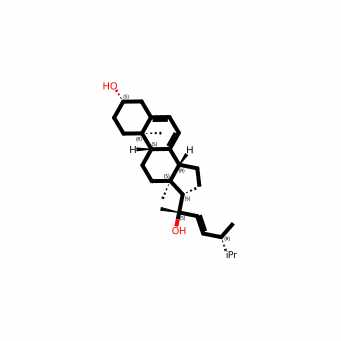 CC(C)[C@@H](C)C=C[C@](C)(O)[C@H]1CC[C@H]2C3=CC=C4C[C@@H](O)CC[C@]4(C)[C@H]3CC[C@@]21C